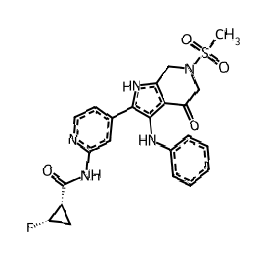 CS(=O)(=O)N1CC(=O)c2c([nH]c(-c3ccnc(NC(=O)[C@@H]4C[C@@H]4F)c3)c2Nc2ccccc2)C1